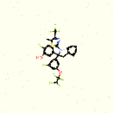 Cc1sc(NC(Cc2ccccc2)(c2cc(F)cc(OC(F)(F)C(F)F)c2)c2ccc(F)c(O)c2)nc1C(F)(F)F